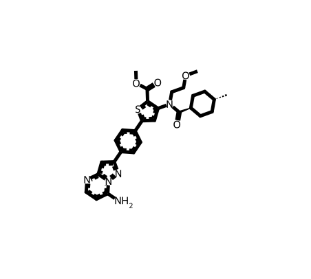 COCCN(c1cc(-c2ccc(-c3cc4nccc(N)n4n3)cc2)sc1C(=O)OC)C(=O)[C@H]1CC[C@H](C)CC1